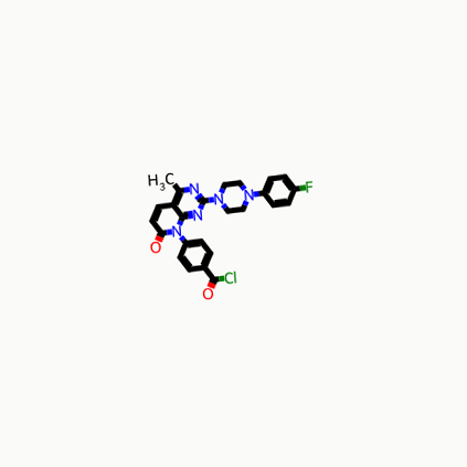 Cc1nc(N2CCN(c3ccc(F)cc3)CC2)nc2c1ccc(=O)n2-c1ccc(C(=O)Cl)cc1